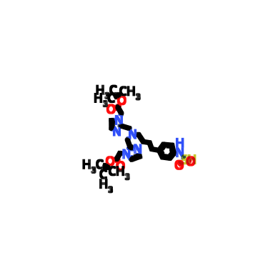 CC(C)(C)OC(=O)Cn1ccnc1CN(CCCCc1ccc(N[SH](=O)=O)cc1)Cc1nccn1CC(=O)OC(C)(C)C